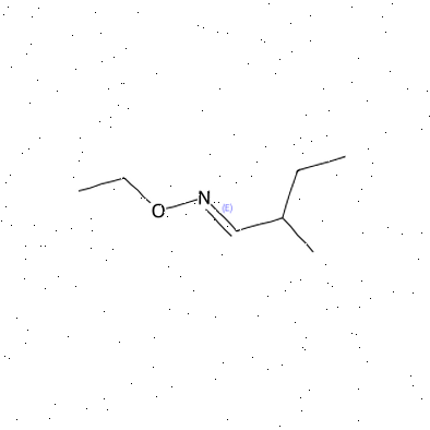 CCO/N=C/C(C)CC